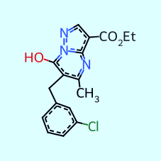 CCOC(=O)c1cnn2c(O)c(Cc3cccc(Cl)c3)c(C)nc12